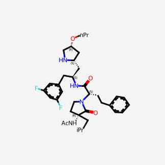 CCCO[C@H]1CN[C@@H](C[C@H](Cc2cc(F)cc(F)c2)NC(=O)[C@H](CCc2ccccc2)N2CC[C@@](CC(C)C)(NC(C)=O)C2=O)C1